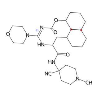 CN1CCC(C#N)(NC(=O)C(CC2CCCCC2)N/C(=N\C(=O)OC2CCCCC2)N2CCOCC2)CC1